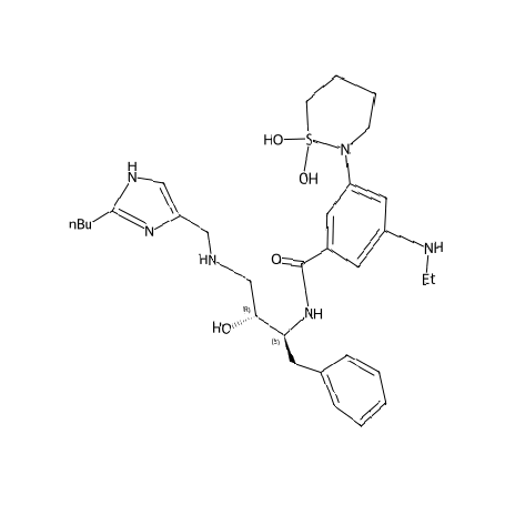 CCCCc1nc(CNC[C@@H](O)[C@H](Cc2ccccc2)NC(=O)c2cc(NCC)cc(N3CCCCS3(O)O)c2)c[nH]1